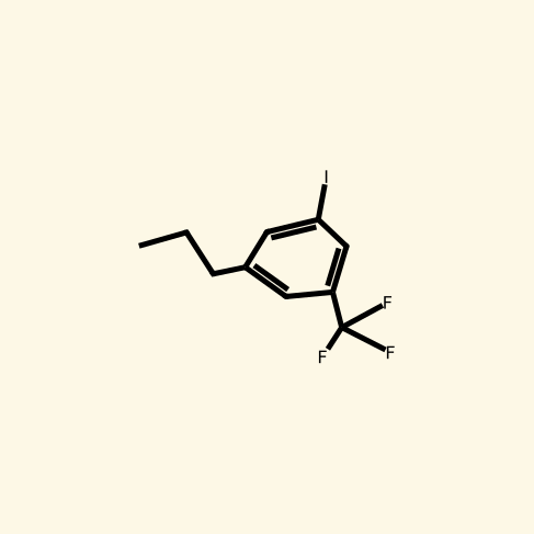 CCCc1cc(I)cc(C(F)(F)F)c1